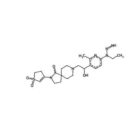 CCN(N=N)c1ccc(C(O)CN2CCC3(CC2)CCN(C2=CS(=O)(=O)CC2)C3=O)c(C)n1